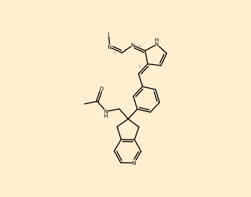 CC(=O)NCC1(c2cccc(\C=C3/C=CN/C3=N/C=N\I)c2)Cc2ccncc2C1